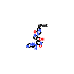 CCCCCc1cc2c(=O)n(-c3nccc(-c4cc(Nc5cc6n(n5)CCN(C)C6)c(=O)n(C)c4)c3CO)ccn2c1